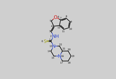 S=C(N/C=C1/COc2ccccc21)N1CCN2CCCCC2C1